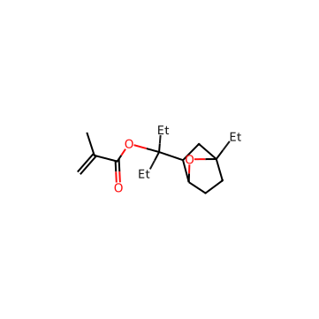 C=C(C)C(=O)OC(CC)(CC)C1CC2(CC)CCC1O2